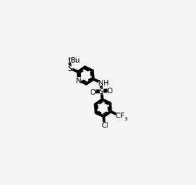 CC(C)(C)Sc1ccc(NS(=O)(=O)c2ccc(Cl)c(C(F)(F)F)c2)cn1